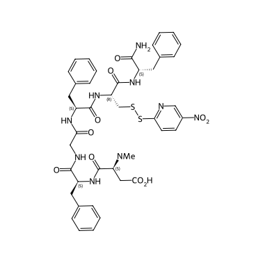 CN[C@@H](CC(=O)O)C(=O)N[C@@H](Cc1ccccc1)C(=O)NCC(=O)N[C@@H](Cc1ccccc1)C(=O)N[C@@H](CSSc1ccc([N+](=O)[O-])cn1)C(=O)N[C@@H](Cc1ccccc1)C(N)=O